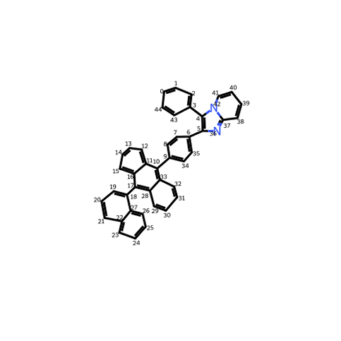 c1ccc(-c2c(-c3ccc(-c4c5ccccc5c(-c5cccc6ccccc56)c5ccccc45)cc3)nc3ccccn23)cc1